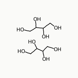 OCC(O)C(O)CO.OCC(O)C(O)CO